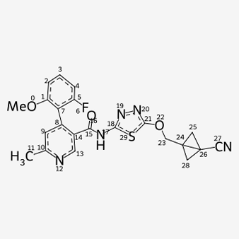 COc1cccc(F)c1-c1cc(C)ncc1C(=O)Nc1nnc(OCC23CC2(C#N)C3)s1